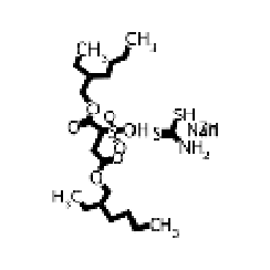 CCCCC(CC)COC(=O)CC(C(=O)OCC(CC)CCCC)S(=O)(=O)O.NC(=S)S.[NaH].[Zn]